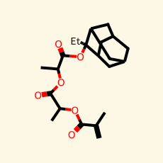 C=C(C)C(=O)OC(C)C(=O)OC(C)C(=O)OC1(CC)C2CC3CC(C2)CC1C3